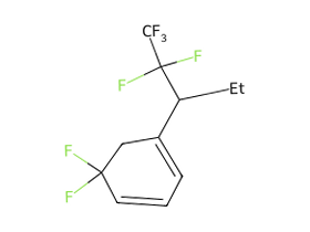 CCC(C1=CC=CC(F)(F)C1)C(F)(F)C(F)(F)F